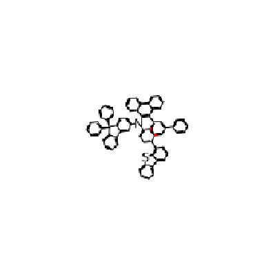 c1ccc(-c2cccc(-c3c(N(c4ccc(-c5cccc6c5sc5ccccc56)cc4)c4ccc5c(c4)-c4ccccc4C5(c4ccccc4)c4ccccc4)c4ccccc4c4ccccc34)c2)cc1